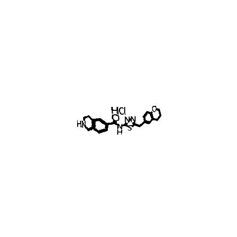 Cl.O=C(Nc1nnc(Cc2ccc3c(c2)CCCO3)s1)c1ccc2c(c1)CCNC2